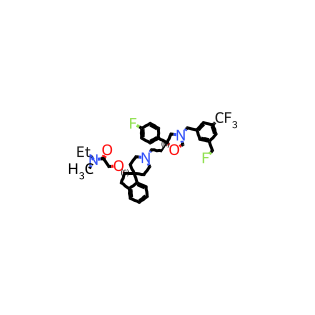 CCN(C)C(=O)CO[C@H]1Cc2ccccc2C12CCN(CC[C@@]1(c3ccc(F)cc3)CN(Cc3cc(CF)cc(C(F)(F)F)c3)CO1)CC2